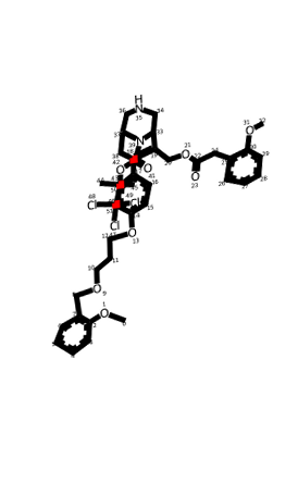 COc1ccccc1COCCCOc1ccc(C2=C(COC(=O)Cc3ccccc3OC)C3CNCC(C2)N3C(=O)OC(C)(C)C(Cl)(Cl)Cl)cc1